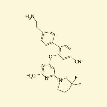 Cc1nc(Oc2cc(C#N)ccc2-c2ccc(CCN)cc2)cc(N2CCCC(F)(F)C2)n1